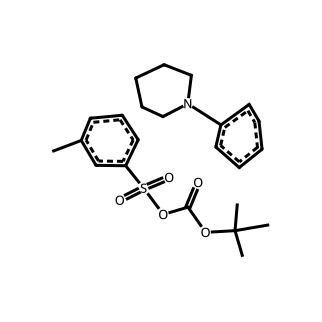 Cc1cccc(S(=O)(=O)OC(=O)OC(C)(C)C)c1.c1ccc(N2CCCCC2)cc1